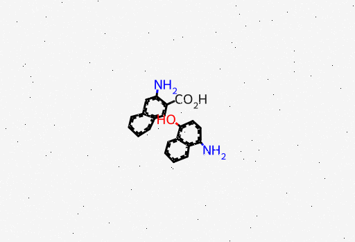 Nc1cc2ccccc2cc1C(=O)O.Nc1ccc(O)c2ccccc12